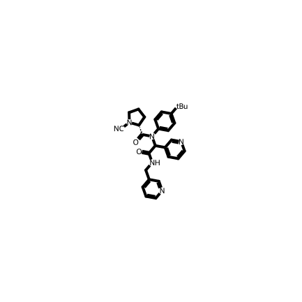 CC(C)(C)c1ccc(N(C(=O)[C@H]2CCCN2C#N)C(C(=O)NCc2cccnc2)c2cccnc2)cc1